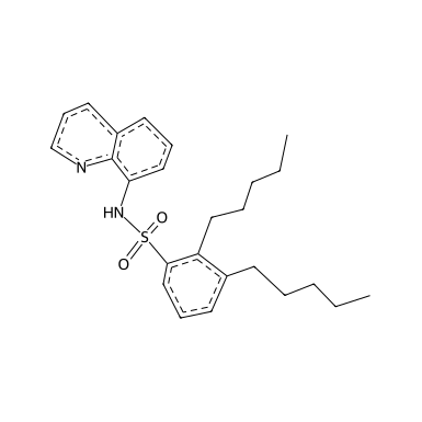 CCCCCc1cccc(S(=O)(=O)Nc2cccc3cccnc23)c1CCCCC